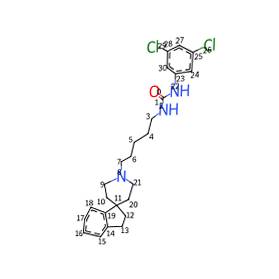 O=C(NCCCCCN1CCC2(CCc3ccccc32)CC1)Nc1cc(Cl)cc(Cl)c1